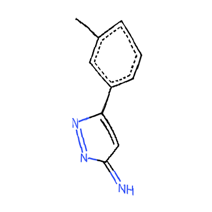 Cc1cccc(C2=CC(=N)N=N2)c1